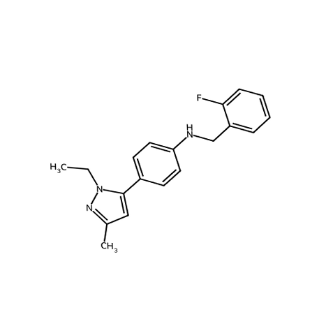 CCn1nc(C)cc1-c1ccc(NCc2ccccc2F)cc1